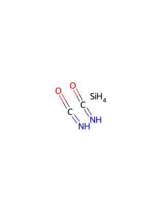 N=C=O.N=C=O.[SiH4]